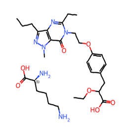 CCCc1nn(C)c2c(=O)n(CCOc3ccc(CC(OCC)C(=O)O)cc3)c(CC)nc12.NCCCC[C@H](N)C(=O)O